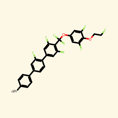 CCCc1ccc(-c2ccc(-c3cc(F)c(C(F)(F)Oc4cc(F)c(OCCF)c(F)c4)c(F)c3)c(F)c2)cc1